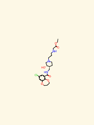 CCOC(=O)CNCCCN1CC[C@@H](CNC(=O)c2cc(Cl)cc3c2OCCCO3)[C@H](O)C1